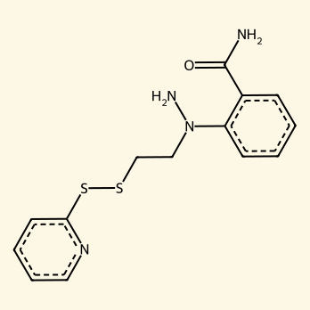 NC(=O)c1ccccc1N(N)CCSSc1ccccn1